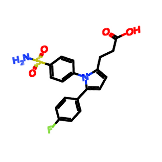 NS(=O)(=O)c1ccc(-n2c(CCC(=O)O)ccc2-c2ccc(F)cc2)cc1